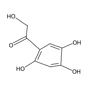 O=C(CO)c1cc(O)c(O)cc1O